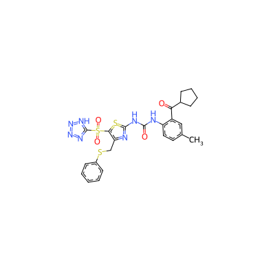 Cc1ccc(NC(=O)Nc2nc(CSc3ccccc3)c(S(=O)(=O)c3nnn[nH]3)s2)c(C(=O)C2CCCC2)c1